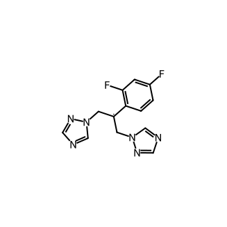 Fc1ccc([C](Cn2cncn2)Cn2cncn2)c(F)c1